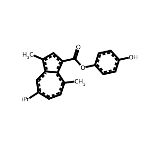 Cc1cc(C(=O)Oc2ccc(O)cc2)c2c(C)ccc(C(C)C)cc1-2